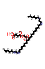 CCCCC/C=C\C/C=C\CCCCCCCCC(CCCCCCCC/C=C\C=C\CCCCC)OC(=O)COC(=O)CCC(=O)O